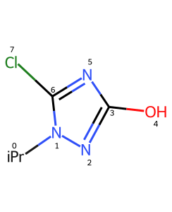 CC(C)n1nc(O)nc1Cl